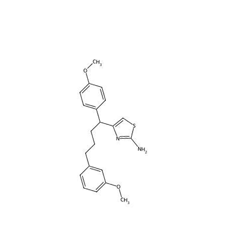 COc1ccc(C(CCCc2cccc(OC)c2)c2csc(N)n2)cc1